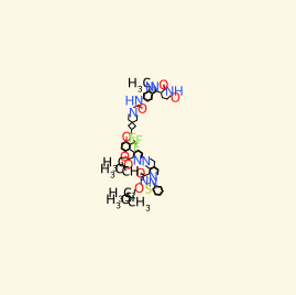 Cn1nc(C2CCC(=O)NC2=O)c2ccc(NC(=O)CN3CCC4(CC3)CC(COc3cccc(-c5ccc(N6CCc7ccnc(C(=O)N(COCC[Si](C)(C)C)c8nc9ccccc9s8)c7C6)nc5C(=O)OC(C)(C)C)c3C(F)(F)F)C4)cc21